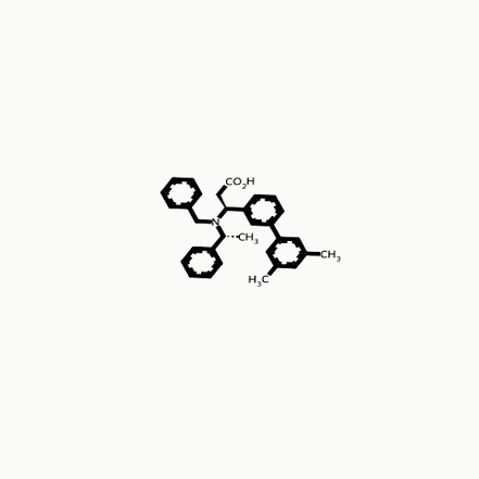 Cc1cc(C)cc(-c2cccc([C@H](CC(=O)O)N(Cc3ccccc3)[C@H](C)c3ccccc3)c2)c1